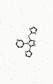 c1cncc(-n2c(Sc3nccs3)nnc2-c2cccs2)c1